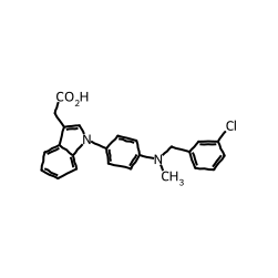 CN(Cc1cccc(Cl)c1)c1ccc(-n2cc(CC(=O)O)c3ccccc32)cc1